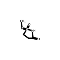 CN=S1(=O)CCC(=O)N1